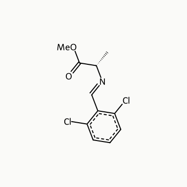 COC(=O)[C@H](C)N=Cc1c(Cl)cccc1Cl